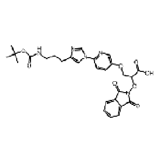 CC(C)(C)OC(=O)NCCCc1cn(-c2ccc(OC[C@H](ON3C(=O)c4ccccc4C3=O)C(=O)O)cn2)cn1